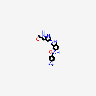 CC(=O)c1cc2cc(NCc3cc(NC(=O)c4ccc(N(C)C)cc4)ccc3C)cnc2[nH]1